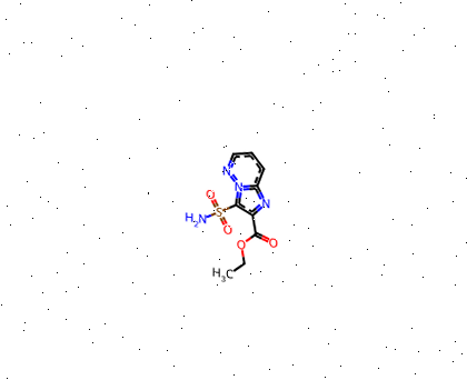 CCOC(=O)c1nc2cccnn2c1S(N)(=O)=O